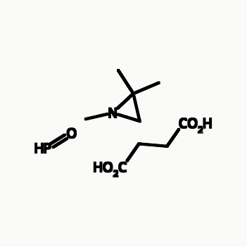 CN1CC1(C)C.O=C(O)CCC(=O)O.O=P